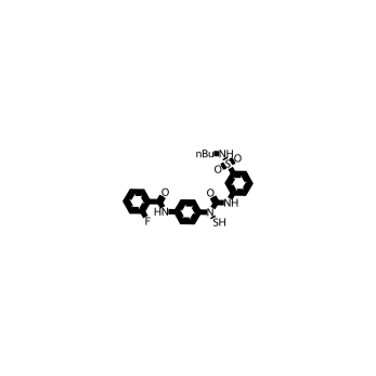 CCCCNS(=O)(=O)c1cccc(NC(=O)N(S)c2ccc(NC(=O)c3ccccc3F)cc2)c1